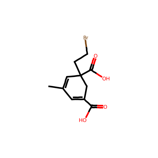 CC1=CC(CCBr)(C(=O)O)CC(C(=O)O)=C1